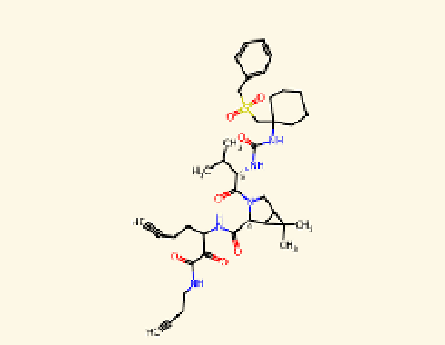 C#CCCNC(=O)C(=O)C(CCC#C)NC(=O)[C@@H]1C2C(CN1C(=O)[C@@H](NC(=O)NC1(CS(=O)(=O)Cc3ccccc3)CCCCC1)C(C)C)C2(C)C